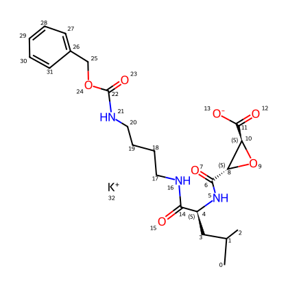 CC(C)C[C@H](NC(=O)[C@H]1O[C@@H]1C(=O)[O-])C(=O)NCCCCNC(=O)OCc1ccccc1.[K+]